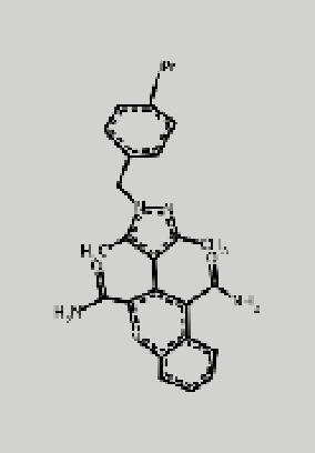 Cc1nn(Cc2ccc(C(C)C)cc2)c(C)c1-c1c(C(N)=O)nc2ccccc2c1C(N)=O